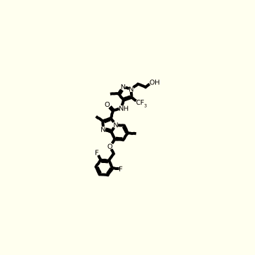 Cc1cc(OCc2c(F)cccc2F)c2nc(C)c(C(=O)Nc3c(C)nn(CCO)c3C(F)(F)F)n2c1